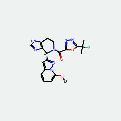 CCOc1cccc2cc([C@H]3c4nc[nH]c4CCN3C(=O)c3nnc(C(C)(C)F)o3)nn12